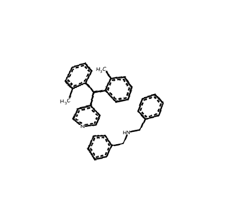 Cc1ccccc1C(c1ccncc1)c1ccccc1C.c1ccc(CNCc2ccccc2)cc1